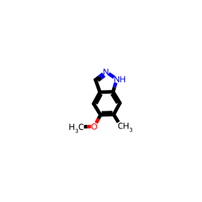 COc1cc2cn[nH]c2cc1C